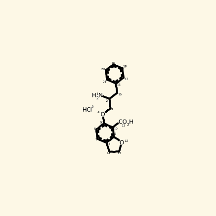 Cl.NC(COc1ccc2c(c1C(=O)O)OCC2)Cc1ccccc1